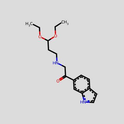 CCOC(CCNCC(=O)c1ccc2[c]c[nH]c2c1)OCC